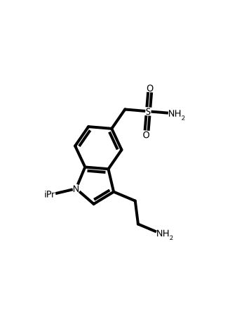 CC(C)n1cc(CCN)c2cc(CS(N)(=O)=O)ccc21